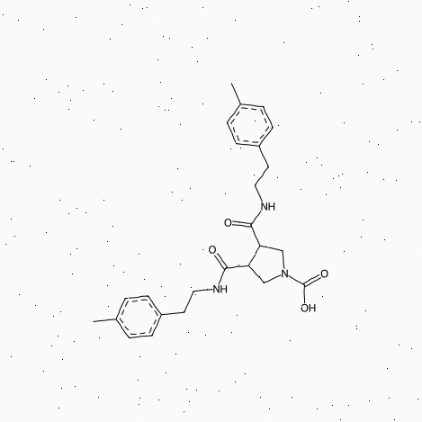 Cc1ccc(CCNC(=O)C2CN(C(=O)O)CC2C(=O)NCCc2ccc(C)cc2)cc1